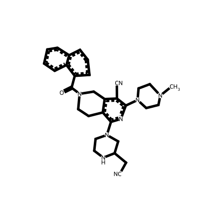 CN1CCN(c2nc(N3CCNC(CC#N)C3)c3c(c2C#N)CN(C(=O)c2cccc4ccccc24)CC3)CC1